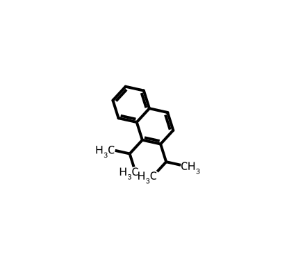 CC(C)c1ccc2ccccc2c1C(C)C